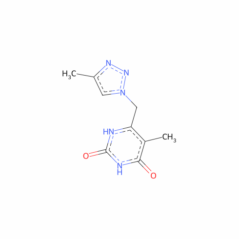 Cc1cn(Cc2[nH]c(=O)[nH]c(=O)c2C)nn1